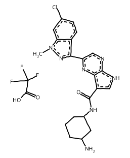 Cn1nc(-c2cnc3[nH]cc(C(=O)NC4CCCC(N)C4)c3n2)c2ccc(Cl)cc21.O=C(O)C(F)(F)F